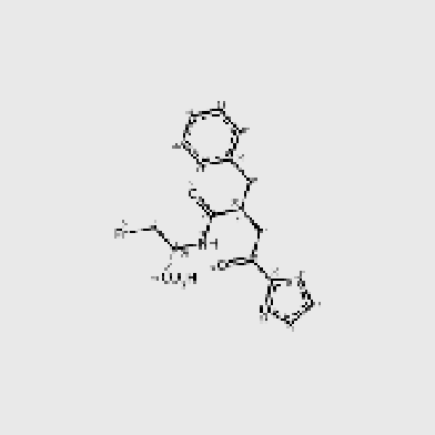 CC(C)C[C@H](NC(=O)[C@H](CC(=O)c1ccco1)Cc1ccccc1)C(=O)O